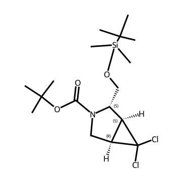 CC(C)(C)OC(=O)N1C[C@H]2[C@@H]([C@H]1CO[Si](C)(C)C(C)(C)C)C2(Cl)Cl